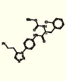 CC(C)CCc1cnnn1-c1ccc(NC(=O)[C@H](Cc2ccccc2Cl)NC(=O)OC(C)(C)C)cc1